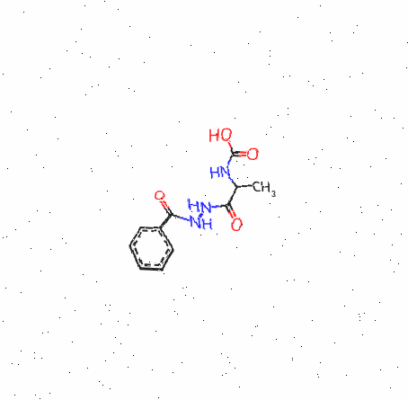 CC(NC(=O)O)C(=O)NNC(=O)c1ccccc1